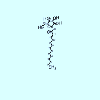 CCCCCCCCCCC/C=C/C(=O)C[C@@H]1OC(CO)[C@@H](O)C(O)C1O